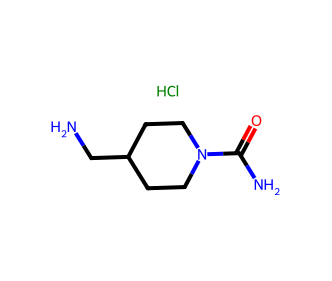 Cl.NCC1CCN(C(N)=O)CC1